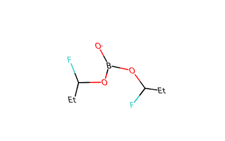 CCC(F)OB([O])OC(F)CC